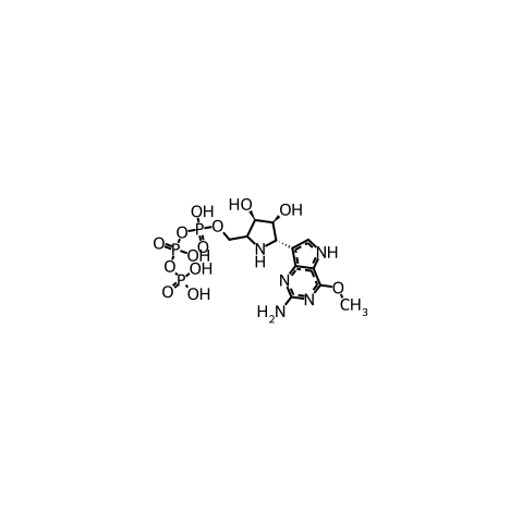 COc1nc(N)nc2c([C@@H]3NC(COP(=O)(O)OP(=O)(O)OP(=O)(O)O)[C@@H](O)[C@H]3O)c[nH]c12